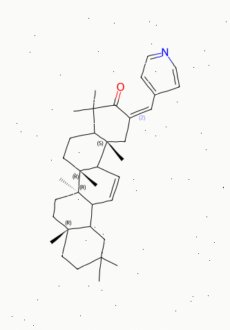 CC1(C)CC[C@]2(C)CC[C@]3(C)C(C=CC4[C@@]5(C)C/C(=C/c6ccncc6)C(=O)C(C)(C)C5CC[C@]43C)C2C1